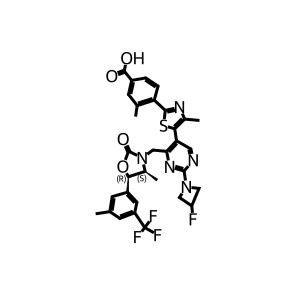 Cc1cc([C@H]2OC(=O)N(Cc3nc(N4CC(F)C4)ncc3-c3sc(-c4ccc(C(=O)O)cc4C)nc3C)[C@H]2C)cc(C(F)(F)F)c1